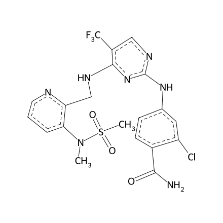 CN(c1cccnc1CNc1nc(Nc2ccc(C(N)=O)c(Cl)c2)ncc1C(F)(F)F)S(C)(=O)=O